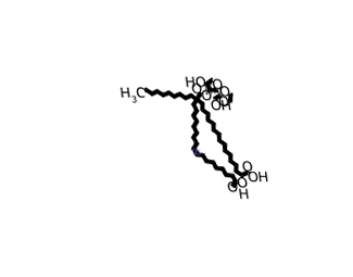 CCCCCCCCCCC(CCCCCCCC/C=C\CCCCCCCC(=O)O)(CCCCCCCCCCCCCCCC(=O)O)C(=O)O[C@@H]1[C@@H](O)CO[C@@H]1C1(CO)OCCO1